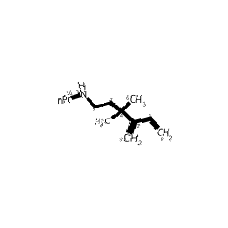 C=CC(=C)C(C)(C)CCNCCC